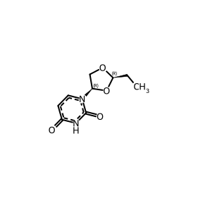 CC[C@@H]1OC[C@H](n2ccc(=O)[nH]c2=O)O1